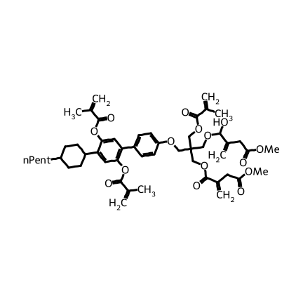 C=C(C)C(=O)OCC(COC(=O)C(=C)CC(=O)OC)(COc1ccc(-c2cc(OC(=O)C(=C)C)c(C3CCC(CCCCC)CC3)cc2OC(=O)C(=C)C)cc1)COC(O)C(=C)CC(=O)OC